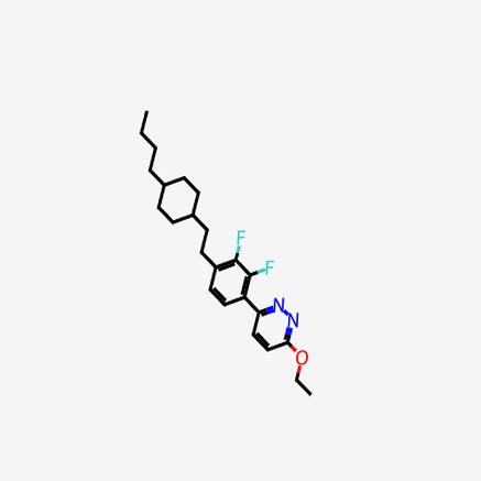 CCCCC1CCC(CCc2ccc(-c3ccc(OCC)nn3)c(F)c2F)CC1